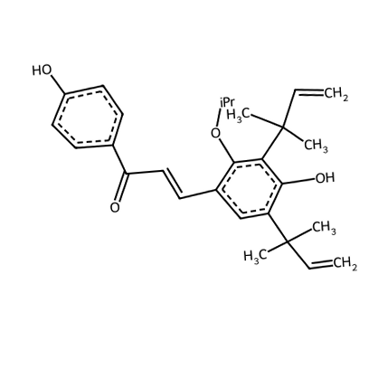 C=CC(C)(C)c1cc(C=CC(=O)c2ccc(O)cc2)c(OC(C)C)c(C(C)(C)C=C)c1O